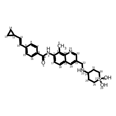 Cc1c(NC(=O)c2ccc(C=CC3CC3)cc2)ccc2cc(CNC3CCS(O)(O)CC3)cnc12